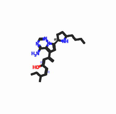 C=C(/C=C(O)\C=C/C(C)CC)c1cc([C@H]2CCC(CCCC)N2)n2ncnc(N)c12